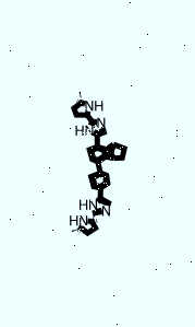 C[C@H]1CCC(c2ncc(-c3ccc(-c4ccc(-c5cnc([C@@H]6CC[C@H](C)N6)[nH]5)cc4)c4c3C3CCC4C3)[nH]2)N1